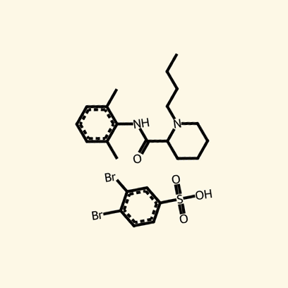 CCCCN1CCCCC1C(=O)Nc1c(C)cccc1C.O=S(=O)(O)c1ccc(Br)c(Br)c1